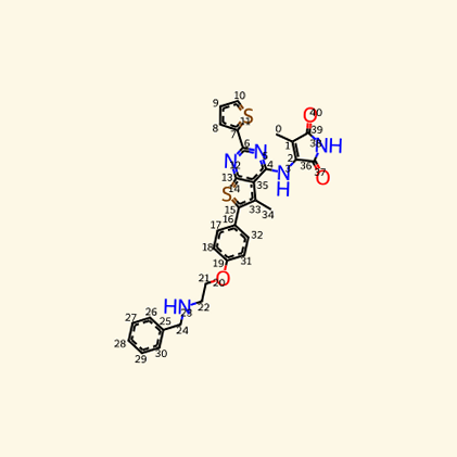 CC1=C(Nc2nc(-c3cccs3)nc3sc(-c4ccc(OCCNCc5ccccc5)cc4)c(C)c23)C(=O)NC1=O